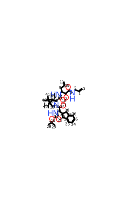 C=CCNC(=O)C(=O)C(CCC)NC(=O)[C@@H]1[C@@H]2[C@H](CN1C(=O)[C@@H](NC(=O)OC(C)C)C1Cc3ccccc3C1)C2(C)C